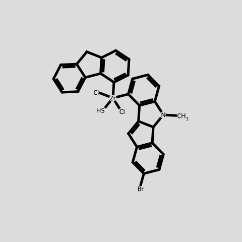 CN1c2ccc[c]([Zr]([SH])([Cl])([Cl])[c]3cccc4c3-c3ccccc3C4)c2C2=Cc3cc(Br)ccc3C21